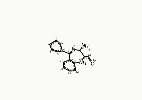 NC1N=C(c2ccccc2)c2ccccc2NC1C=O